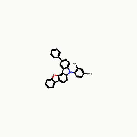 N#Cc1ccc(-n2c3ccc(-c4ccccc4)cc3c3c4oc5ccccc5c4ccc32)c(C#N)c1